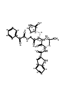 CC(C)C[C@H](NC(=O)c1cc2ccccc2[nH]1)C(=O)N[C@@H](C[C@@H]1CCNC1=O)C(=O)COC(=O)C(=O)c1ccccc1